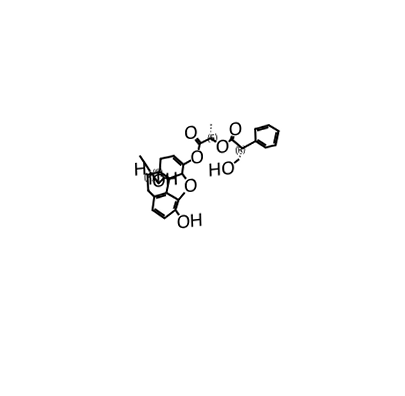 C[C@H](OC(=O)[C@@H](CO)c1ccccc1)C(=O)OC1=CC[C@@]2(O)[C@H]3Cc4ccc(O)c5c4C2(CCN3C)C1O5